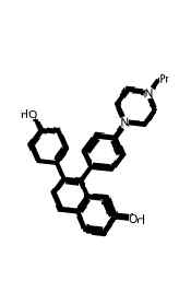 CC(C)N1CCN(c2ccc(C3=C(C4=CCC(O)CC4)CCc4ccc(O)cc43)cc2)CC1